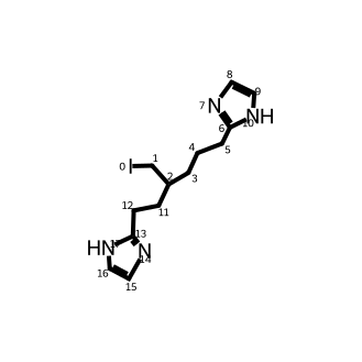 ICC(CCCc1ncc[nH]1)CCc1ncc[nH]1